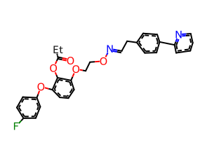 CCC(=O)Oc1c(OCCON=CCc2ccc(-c3ccccn3)cc2)cccc1Oc1ccc(F)cc1